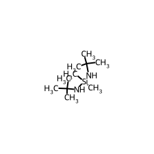 CC(C)(C)N[Si](C)(C)NC(C)(C)C